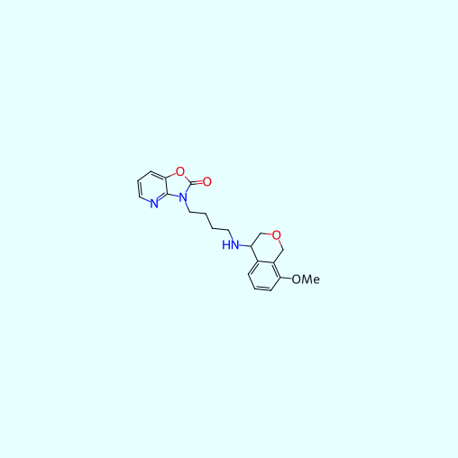 COc1cccc2c1COCC2NCCCCn1c(=O)oc2cccnc21